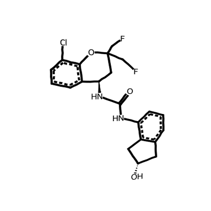 O=C(Nc1cccc2c1C[C@@H](O)C2)N[C@@H]1CC(CF)(CF)Oc2c(Cl)cccc21